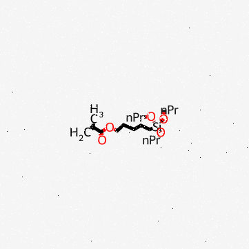 C=C(C)C(=O)OCCCCC[Si](OCCC)(OCCC)OCCC